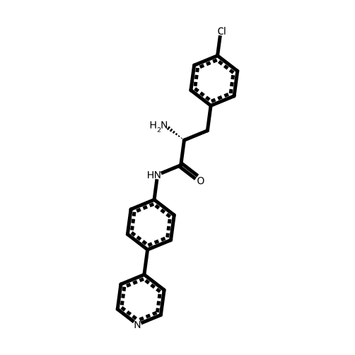 N[C@H](Cc1ccc(Cl)cc1)C(=O)Nc1ccc(-c2ccncc2)cc1